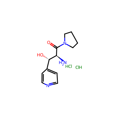 Cl.Cl.N[C@H](C(=O)N1CCCC1)[C@@H](O)c1ccncc1